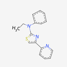 CCN(c1ccccc1)c1nc(-c2ccccn2)cs1